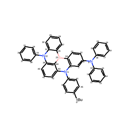 CC(C)(C)c1ccc(N2c3cc(N(c4ccccc4)c4ccccc4)ccc3B3c4ccccc4N(c4ccccc4)c4cccc2c43)cc1